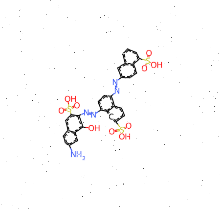 Nc1ccc2cc(S(=O)(=O)O)c(N=Nc3ccc(N=Nc4ccc5c(S(=O)(=O)O)cccc5c4)c4ccc(S(=O)(=O)O)cc34)c(O)c2c1